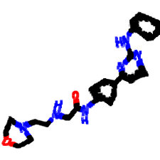 O=C(CNCCN1CCOCC1)Nc1ccc(-c2ccnc(Nc3ccccc3)n2)cc1